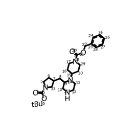 CC(C)(C)OC(=O)N1CCC(CC2CNCCN2C2CCN(C(=O)OCc3ccccc3)CC2)C1